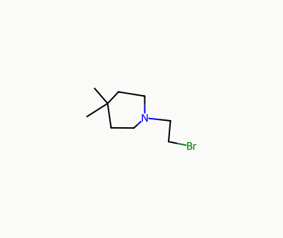 CC1(C)CCN(CCBr)CC1